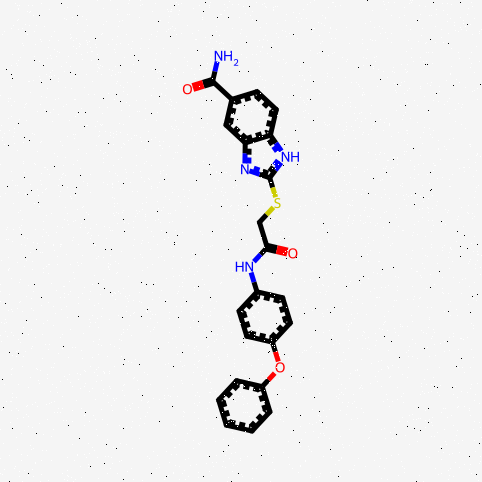 NC(=O)c1ccc2[nH]c(SCC(=O)Nc3ccc(Oc4ccccc4)cc3)nc2c1